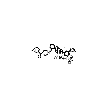 COc1c(NC(=O)c2cc3cccc(CN4CCN(C(=O)C5CCCN(C)C5)CC4)c3n2C)cc(C(C)(C)C)cc1NS(C)(=O)=O